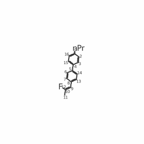 CCCc1ccc(-c2ccc(C=C(C)F)cc2)cc1